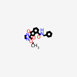 CCOC(=O)C1(C2Cc3c(C(=O)NCc4ccccc4)cccc3C2=O)N=CC=N1